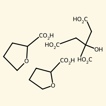 O=C(O)C1CCCO1.O=C(O)C1CCCO1.O=C(O)CC(O)(CC(=O)O)C(=O)O